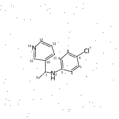 CC(Nc1ccc(Cl)cc1)c1cccnc1